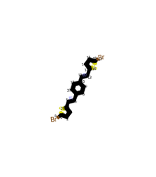 Brc1ccc(/C=C/c2ccc(/C=C/c3ccc(Br)s3)cc2)s1